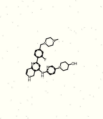 CN1CCN(Cc2ccc(-c3cc(Nc4ccc(N5CCC(O)CC5)cn4)c4c(n3)C=CNC4)c(F)c2)CC1